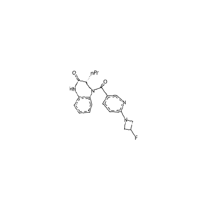 CCC[C@H]1C(=O)Nc2ccccc2N1C(=O)c1ccc(N2CC(F)C2)nc1